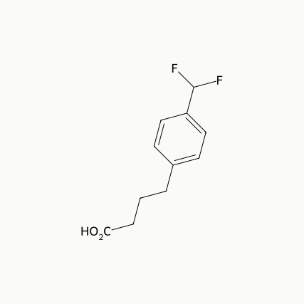 O=C(O)CCCc1ccc(C(F)F)cc1